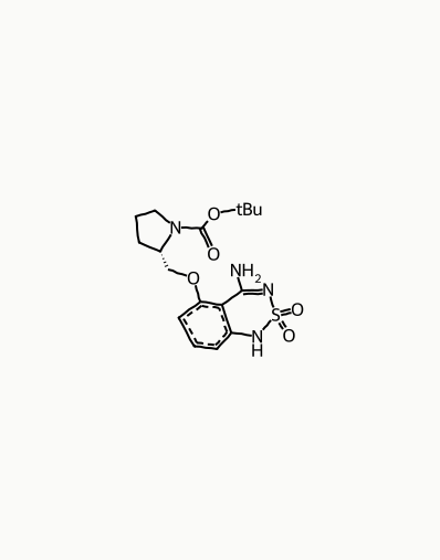 CC(C)(C)OC(=O)N1CCC[C@H]1COc1cccc2c1C(N)=NS(=O)(=O)N2